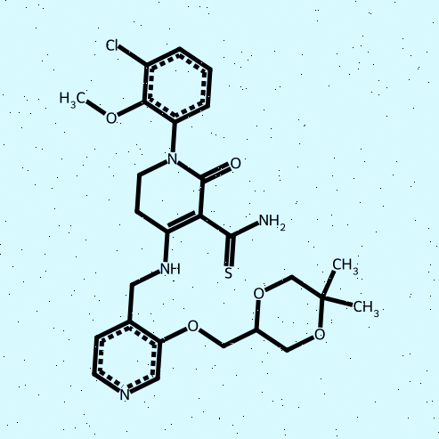 COc1c(Cl)cccc1N1CCC(NCc2ccncc2OCC2COC(C)(C)CO2)=C(C(N)=S)C1=O